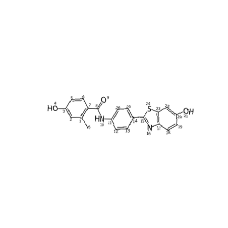 Cc1cc(O)ccc1C(=O)Nc1ccc(-c2nc3ccc(O)cc3s2)cc1